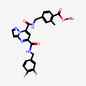 Cc1cc(CNC(=O)c2cc(C(=O)NCc3ccc(F)c(F)c3)nc3ccnn23)ccc1C(=O)OC(C)(C)C